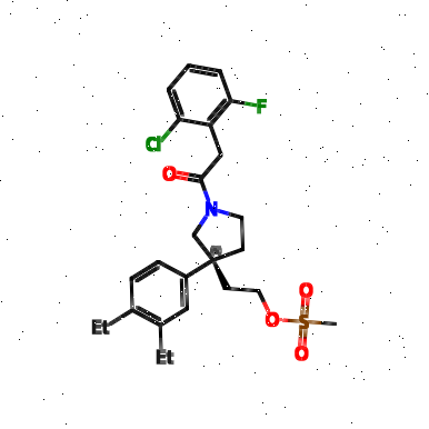 CCc1ccc([C@@]2(CCOS(C)(=O)=O)CCN(C(=O)Cc3c(F)cccc3Cl)C2)cc1CC